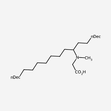 CCCCCCCCCCCCCCCCCC(CCCCCCCCCCCC)N(C)CC(=O)O